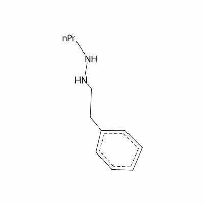 CCCNNCCc1ccccc1